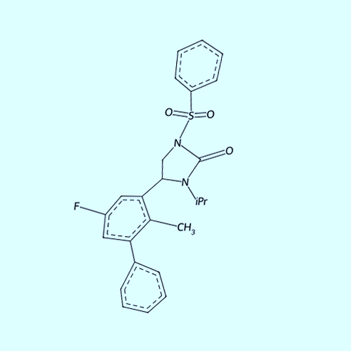 Cc1c(-c2ccccc2)cc(F)cc1C1CN(S(=O)(=O)c2ccccc2)C(=O)N1C(C)C